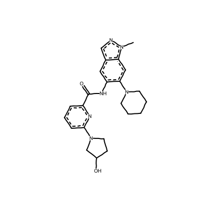 Cn1ncc2cc(NC(=O)c3cccc(N4CCC(O)C4)n3)c(N3CCCCC3)cc21